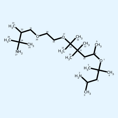 CC(N)CC(C)(C)OC(C)CC(C)(C)C(C)(C)OCCOCC(C)C(C)(C)N